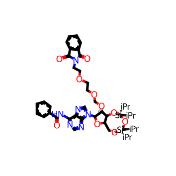 CC(C)[Si]1(C(C)C)OCC2OC(n3cnc4c(NC(=O)c5ccccc5)ncnc43)[C@H](OCOCCOCCN3C(=O)c4ccccc4C3=O)C2O[Si](C(C)C)(C(C)C)O1